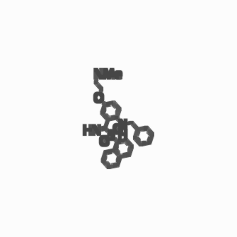 CNCCOc1ccc(NCc2ccccc2)c(C(=N)S(=O)(=O)c2cccc3ccccc23)c1